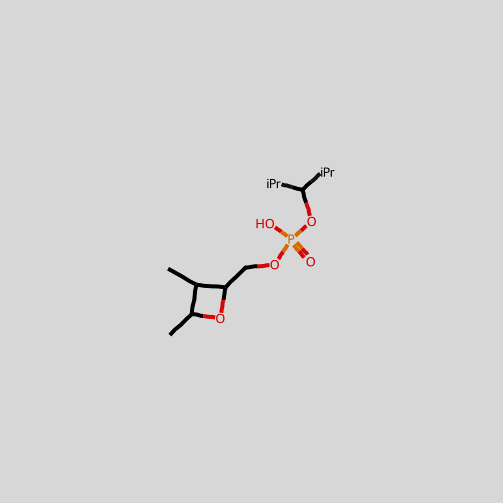 CC(C)C(OP(=O)(O)OCC1OC(C)C1C)C(C)C